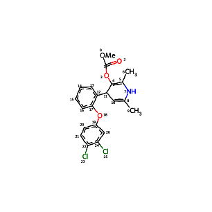 COC(=O)OC1=C(C)NC(C)=CC1c1ccccc1Oc1ccc(Cl)c(Cl)c1